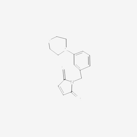 O=C1C=CC(=O)N1Cc1cccc(N2CCOCC2)c1